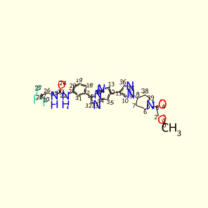 COCC(=O)N1CCC(n2cc(-c3cnn4c(-c5cccc(NC(=O)NCC(F)(F)F)c5)cnc4c3)cn2)CC1